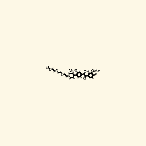 CCOCCOCCOCCN1CCC(c2ccc(C(O)C(=O)c3ccc(C)c(OC)c3)cc2OC)CC1